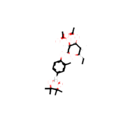 CC[C@H]1O[C@H](Oc2ccc(B3OC(C)(C)C(C)(C)O3)cc2C)[C@@](C)(OC(C)=O)[C@@H](OC(C)=O)[C@@H]1C